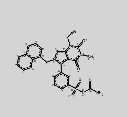 CC(C)Cn1c(=O)n(C)c(=O)c2c(-c3cccc(S(=O)(=O)NC(N)=O)c3)n(Cc3cccc4ccccc34)nc21